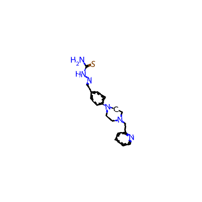 NC(=S)N/N=C/c1ccc(N2CCN(Cc3ccccn3)CC2)cc1